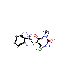 CC(C)n1c(=O)[nH]c(Cl)c(CC(N)c2ccccc2)c1=O